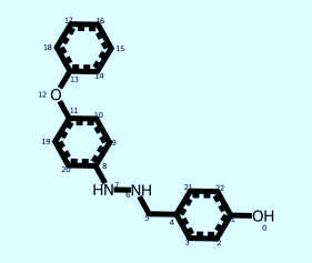 Oc1ccc(CNNc2ccc(Oc3ccccc3)cc2)cc1